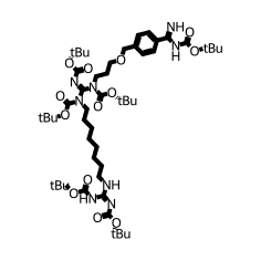 CC(C)(C)OC(=O)/N=C(/NCCCCCCCCN(C(=O)OC(C)(C)C)/C(=N/C(=O)OC(C)(C)C)N(CCCOCc1ccc(C(=N)NC(=O)OC(C)(C)C)cc1)C(=O)OC(C)(C)C)NC(=O)OC(C)(C)C